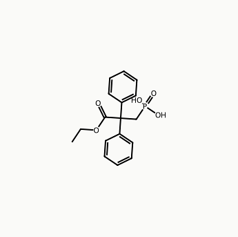 CCOC(=O)C(CP(=O)(O)O)(c1ccccc1)c1ccccc1